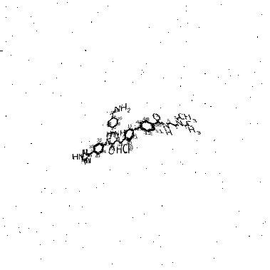 CCN(CC)CCNC(=O)c1ccc(-c2ccc(C[C@H](NC(=O)[C@H]3CC[C@H](CN)CC3)C(=O)Nc3ccc(-c4nn[nH]n4)cc3)cc2)cc1.Cl